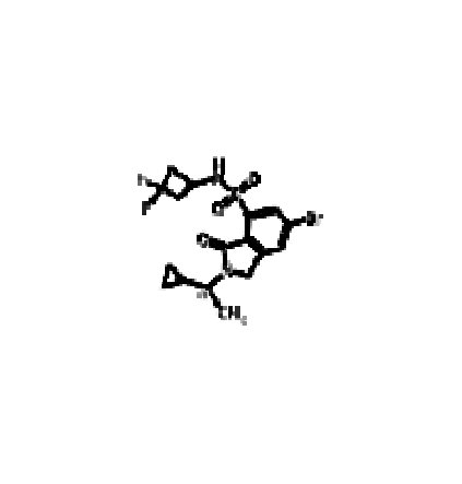 C[C@@H](C1CC1)N1Cc2cc(Br)cc(S(=O)(=O)NC3CC(F)(F)C3)c2C1=O